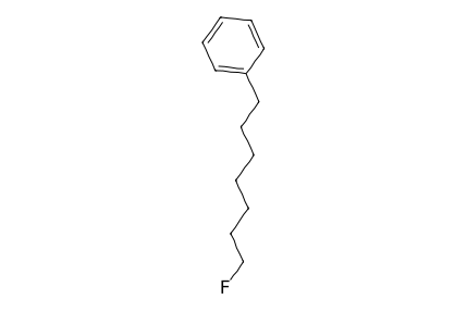 FCCCCCCCc1ccccc1